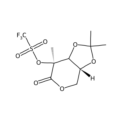 CC1(C)OC2[C@@H](COC(=O)[C@@]2(C)OS(=O)(=O)C(F)(F)F)O1